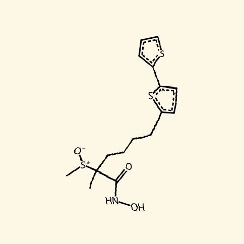 C[S+]([O-])C(C)(CCCCc1ccc(-c2cccs2)s1)C(=O)NO